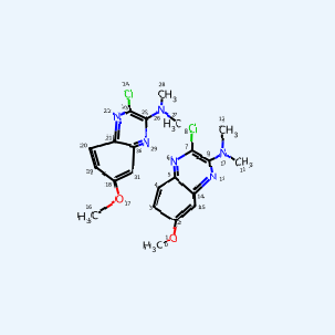 COc1ccc2nc(Cl)c(N(C)C)nc2c1.COc1ccc2nc(Cl)c(N(C)C)nc2c1